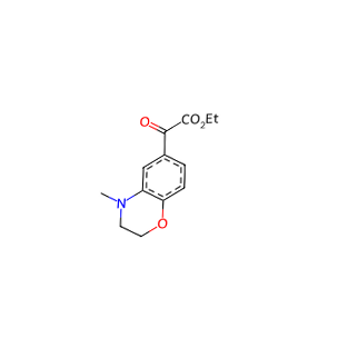 CCOC(=O)C(=O)c1ccc2c(c1)N(C)CCO2